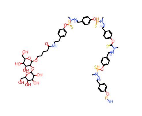 CN(/N=C/c1ccc(O[PH](=S)N(C)/N=C/c2ccc(OP=N)cc2)cc1)C(=S)Oc1ccc(/C=N/N(C)[PH](=S)Oc2ccc(/C=N/N(C)[PH](=S)Oc3ccc(CCNC(=O)CCCCOC4OC(CO)C(O)C(O)C4OC4OC(CO)C(O)C(O)C4O)cc3)cc2)cc1